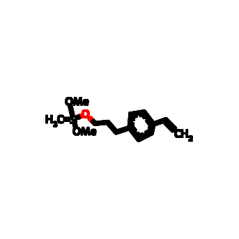 C=Cc1ccc(CCCO[Si](C)(OC)OC)cc1